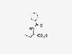 C/C=C(\NC(=O)C1CCCC1)C(=O)O